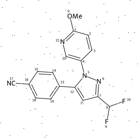 COc1ccc(-n2nc(C(F)F)cc2-c2ccc(C#N)cc2)cn1